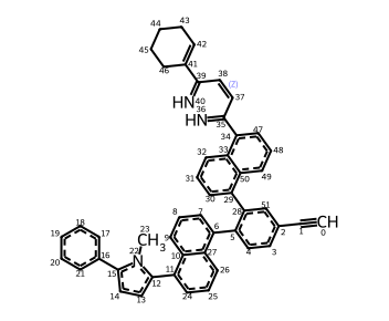 C#Cc1ccc(-c2cccc3c(-c4ccc(-c5ccccc5)n4C)cccc23)c(-c2cccc3c(C(=N)/C=C\C(=N)C4=CCCCC4)cccc23)c1